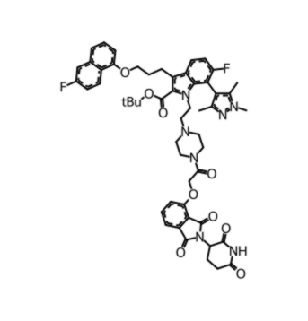 Cc1nn(C)c(C)c1-c1c(F)ccc2c(CCCOc3cccc4cc(F)ccc34)c(C(=O)OC(C)(C)C)n(CCN3CCN(C(=O)COc4cccc5c4C(=O)N(C4CCC(=O)NC4=O)C5=O)CC3)c12